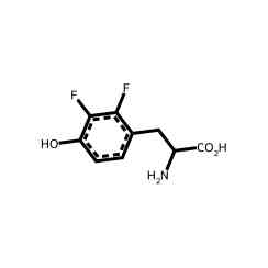 NC(Cc1ccc(O)c(F)c1F)C(=O)O